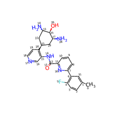 Cc1ccc(F)c(-c2cccc(C(=O)Nc3cnccc3[C@H]3C[C@@H](N)[C@@H](O)[C@@H](N)C3)n2)c1